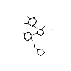 Cc1ccc(-n2c(C)ccc2-c2cc(Br)ccc2OCC2CCCC2)cc1C(=O)O.[NaH]